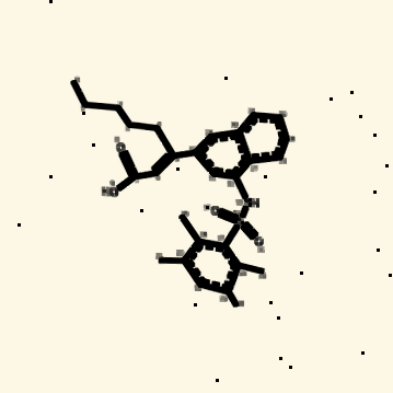 CCCCC/C(=C\C(=O)O)c1cc(NS(=O)(=O)c2c(C)c(C)cc(C)c2C)c2ccccc2c1